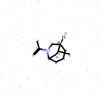 C=C(C)N1C[C@@H]2CCCC1CC2C